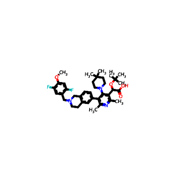 COc1cc(F)c(CN2CCc3cc(-c4c(C)nc(C)c(C(OC(C)(C)C)C(=O)O)c4N4CCC(C)(C)CC4)ccc3C2)cc1F